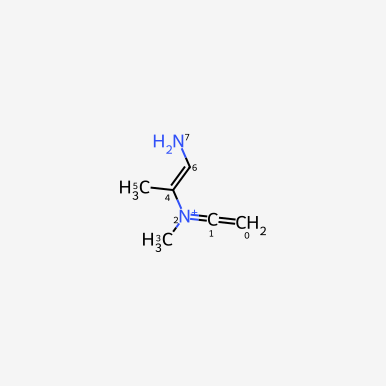 C=C=[N+](C)/C(C)=C/N